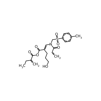 C=CC(=O)N(C=C(CCCO)C(=O)OC(=O)C(=C)CC)CS(=O)(=O)c1ccc(C)cc1